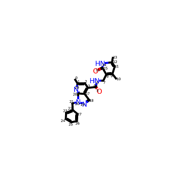 Cc1cc(C(=O)NCc2c(C)cc(C)[nH]c2=O)c2cnn(Cc3ccccc3)c2n1